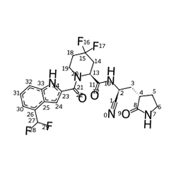 N#C[C@H](C[C@@H]1CCNC1=O)NC(=O)[C@@H]1CC(F)(F)CCN1C(=O)c1cc2c(C(F)F)cccc2[nH]1